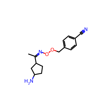 CC(=NOOCc1ccc(C#N)cc1)C1CCC(N)C1